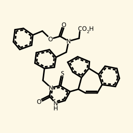 O=C(O)CN(Cc1cccc(Cn2c(=O)[nH]cc(C3C=Cc4ccccc4-c4ccccc43)c2=S)c1)C(=O)OCc1ccccc1